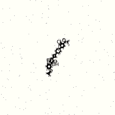 CN(C)C(=O)c1ccc(N2CCC(C3CC(N(C)C(=O)[C@](O)(c4cccc(OC5CC5)c4)C(F)(F)F)C3)CC2)nc1Cl